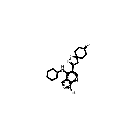 CCn1ncc2c(NC3CCCCC3)c(C3=NOC4(CCC(=O)CC4)C3)cnc21